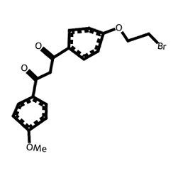 COc1ccc(C(=O)CC(=O)c2ccc(OCCBr)cc2)cc1